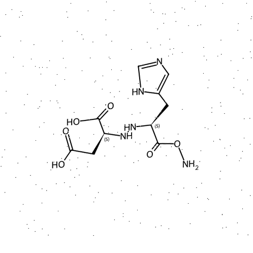 NOC(=O)[C@H](Cc1cnc[nH]1)NN[C@@H](CC(=O)O)C(=O)O